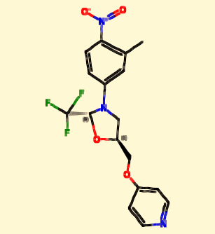 Cc1cc(N2C[C@@H](COc3ccncc3)O[C@@H]2C(F)(F)F)ccc1[N+](=O)[O-]